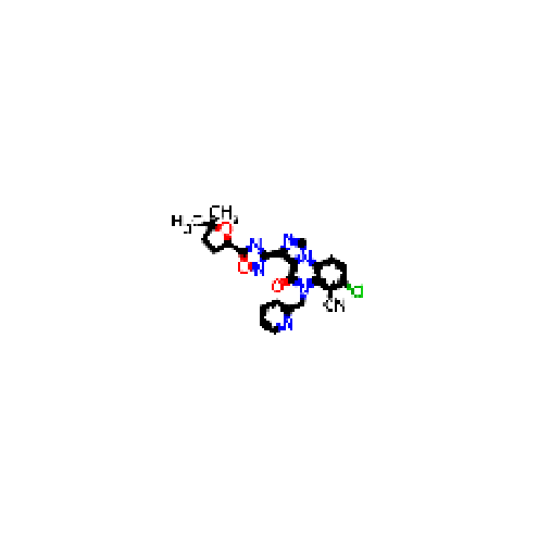 CC1(C)CCC(c2nc(-c3ncn4c3c(=O)n(Cc3ccccn3)c3c(C#N)c(Cl)ccc34)no2)O1